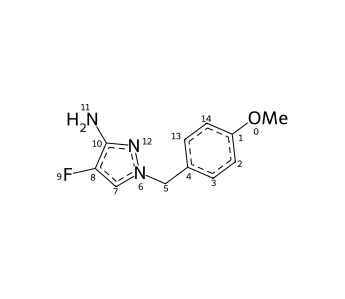 COc1ccc(Cn2cc(F)c(N)n2)cc1